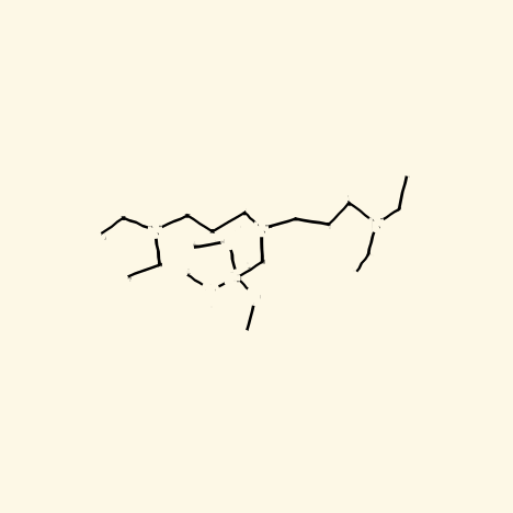 CCN(CC)CCCN(CCCN(CC)CC)C[Si](OC)(OC)OC